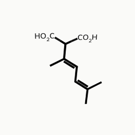 CC(C)=CC=C(C)C(C(=O)O)C(=O)O